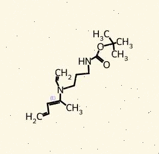 C=C/C=C(\C)N(C=C)CCCNC(=O)OC(C)(C)C